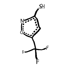 FC(F)(F)c1cc(S)no1